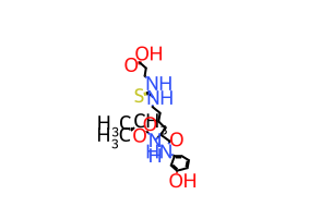 CC(C)(C)OC(=O)NC(CCCCNC(=S)NCCC(=O)O)C(=O)Nc1cccc(O)c1